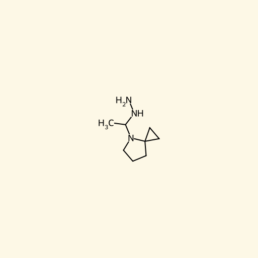 CC(NN)N1CCCC12CC2